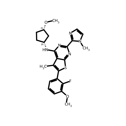 COc1cccc(-c2sc3nc(-c4nccn4C)nc(N[C@@H]4CC[C@H](OC)C4)c3c2C)c1F